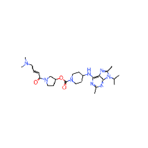 Cc1nc(NC2CCN(C(=O)O[C@H]3CCN(C(=O)/C=C/CN(C)C)C3)CC2)c2nc(C)n(C(C)C)c2n1